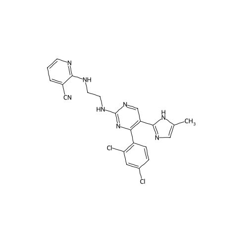 Cc1cnc(-c2cnc(NCCNc3ncccc3C#N)nc2-c2ccc(Cl)cc2Cl)[nH]1